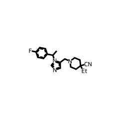 CCC1(C#N)CCN(Cc2cncn2C(C)c2ccc(F)cc2)CC1